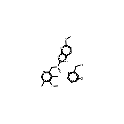 COc1ccc2[nH]c([S+]([O-])Cc3ncc(C)c(OC)c3C)nc2n1.Cl.ClCc1ccccn1